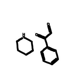 C1CCNCC1.O=CC(=O)c1ccccc1